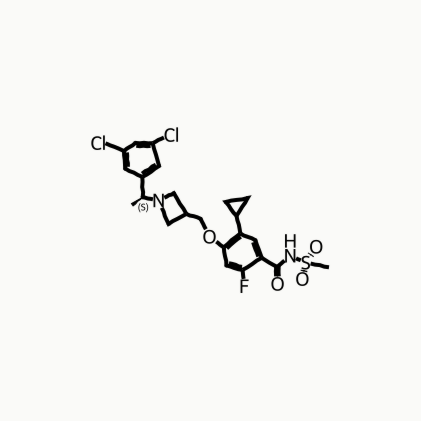 C[C@@H](c1cc(Cl)cc(Cl)c1)N1CC(COc2cc(F)c(C(=O)NS(C)(=O)=O)cc2C2CC2)C1